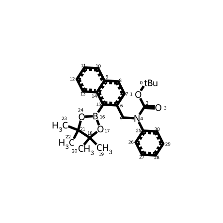 CC(C)(C)OC(=O)N(Cc1ccc2ccccc2c1B1OC(C)(C)C(C)(C)O1)c1ccccc1